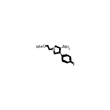 COCCN1C[C@H](c2ccc(F)cc2)[C@@H](N)C1